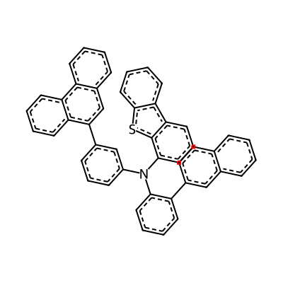 c1cc(-c2cc3ccccc3c3ccccc23)cc(N(c2ccccc2-c2ccc3ccccc3c2)c2cccc3c2sc2ccccc23)c1